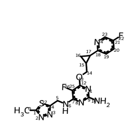 Cc1nnc(CNc2nc(N)nc(OCC3CC3c3ccc(F)cn3)c2F)s1